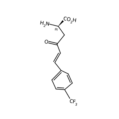 N[C@H](CC(=O)C=Cc1ccc(C(F)(F)F)cc1)C(=O)O